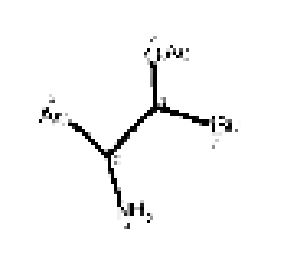 CCC(C)C(OC(C)=O)C(N)C(C)=O